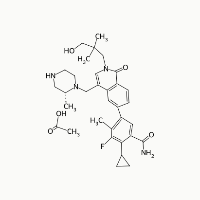 CC(=O)O.Cc1c(-c2ccc3c(=O)n(CC(C)(C)CO)cc(CN4CCNC[C@H]4C)c3c2)cc(C(N)=O)c(C2CC2)c1F